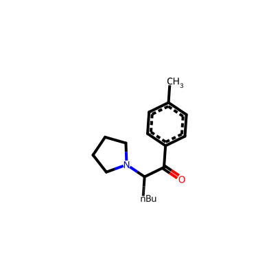 CCCCC(C(=O)c1ccc(C)cc1)N1CCCC1